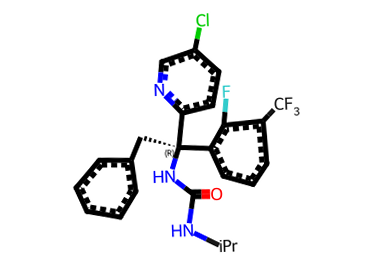 CC(C)NC(=O)N[C@@](Cc1ccccc1)(c1ccc(Cl)cn1)c1cccc(C(F)(F)F)c1F